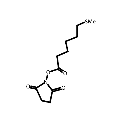 CSCCCCCC(=O)ON1C(=O)CCC1=O